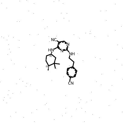 C[C@H]1CC[C@@H](Nc2nc(NCCc3ccc(C#N)cc3)ncc2C#N)CC1(C)C